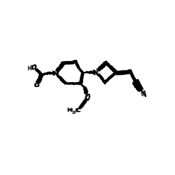 CO[C@H]1CN(C(=O)O)CC[C@H]1N1CC(=CC#N)C1